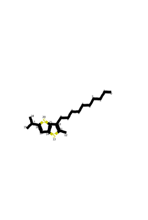 CCCCCCCCCCc1c(C)sc2cc(C(C)C)sc12